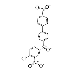 O=[N+]([O-])c1ccc(-c2ccc([S+]([O-])c3ccc(Cl)c([N+](=O)[O-])c3)cc2)cc1